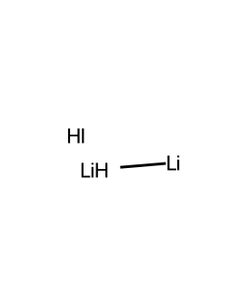 I.[LiH].[Li][CH3]